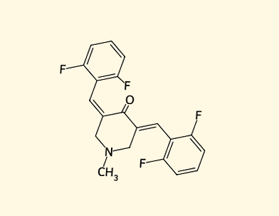 CN1C/C(=C/c2c(F)cccc2F)C(=O)/C(=C/c2c(F)cccc2F)C1